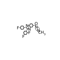 CN1CCN(C(=O)c2ccc3nc(-c4ccc(F)cc4)c(-c4ccc(F)cc4F)nc3c2)CC1